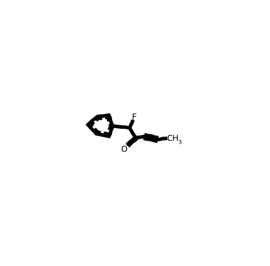 CC#CC(=O)C(F)c1ccccc1